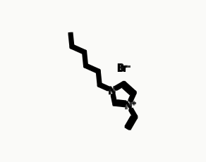 C=C[n+]1ccn(CCCCCC)c1.[Br-]